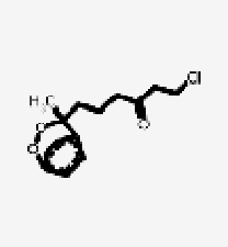 CC1(CCCC(=O)CCCl)OOc2ccc1cc2